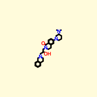 CN(C)C1CCCN(c2ccc3c(c2)CCN(C[C@H](O)CN2CCc4ccccc4C2)C3=O)C1